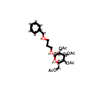 CC(=O)OC[C@H]1O[C@@H](OCCCOCc2ccccc2)[C@H](OC(C)=O)[C@@H](OC(C)=O)[C@H]1OC(C)=O